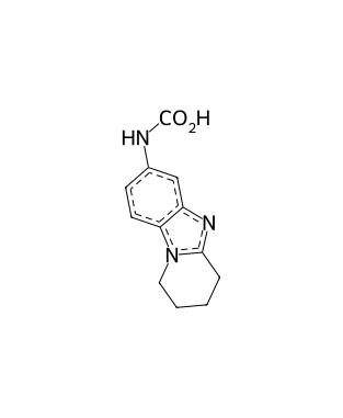 O=C(O)Nc1ccc2c(c1)nc1n2CCCC1